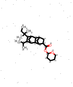 CCC(C)(C)C1C2CC(C3C4CC(CC4C(=O)OC4CCCCO4)C23)C1C(C)C